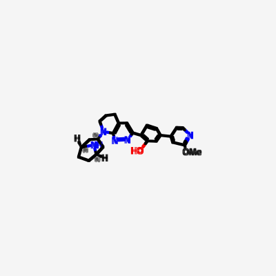 COc1cc(-c2ccc(-c3cc4c(nn3)N([C@@H]3C[C@H]5CC[C@@H](C3)N5)CCC4)c(O)c2)ccn1